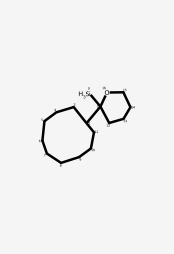 [SiH3]C1(C2CCCCCCCCC2)CCCCO1